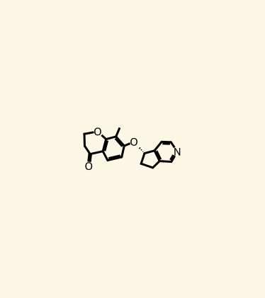 Cc1c(O[C@H]2CCc3cnccc32)ccc2c1OCCC2=O